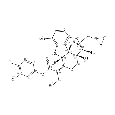 CC(=O)Oc1ccc2c3c1O[C@H]1[C@H](N(CC(C)C)C(=O)Cc4ccc(Cl)c(Cl)c4)CC[C@@]4(O)[C@@H](C2)N(CC2CC2)CC[C@]314